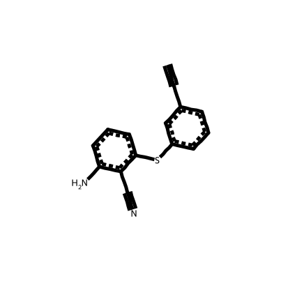 C#Cc1cccc(Sc2cccc(N)c2C#N)c1